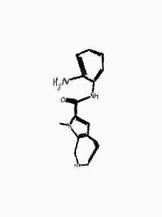 Cn1c(C(=O)Nc2ccccc2N)cc2c1CNCC2